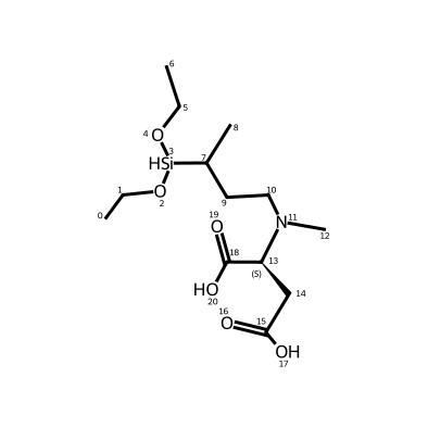 CCO[SiH](OCC)C(C)CCN(C)[C@@H](CC(=O)O)C(=O)O